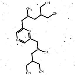 CN(Cc1cncc(CN(C)CC(CO)CO)n1)CC(CO)CO